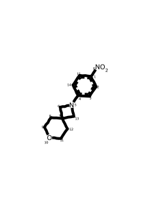 O=[N+]([O-])c1ccc(N2CC3(CCOCC3)C2)cc1